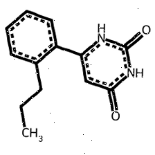 CCCc1ccccc1-c1cc(=O)[nH]c(=O)[nH]1